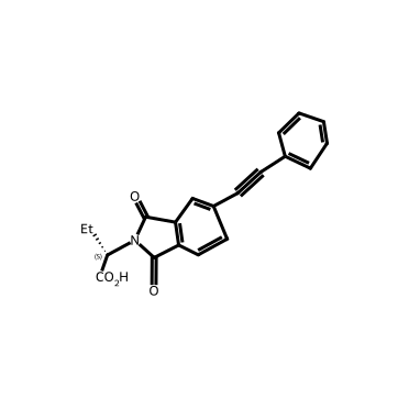 CC[C@@H](C(=O)O)N1C(=O)c2ccc(C#Cc3ccccc3)cc2C1=O